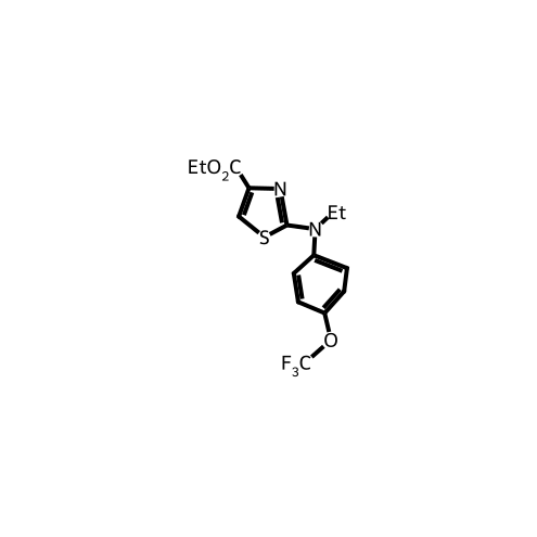 CCOC(=O)c1csc(N(CC)c2ccc(OC(F)(F)F)cc2)n1